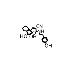 N#CC(=Cc1cc(O)c(O)c2c1CCCC2)C(=O)NCCc1ccc(O)cc1